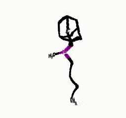 CCCCP(C)C12CC3CC(CC1C3)C2